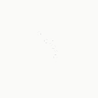 COC(=O)c1c(-c2ccc(OCc3ccccc3)cc2)oc2cc(N(N)Cc3ccc(OC)cc3)c(C3CC3)cc12